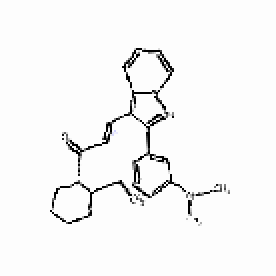 CCC1CCCCN1C(=O)/C=C/c1c(-c2cccc(N(C)C)c2)nn2ccccc12